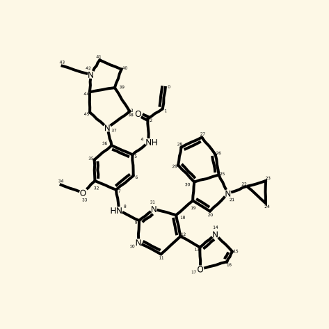 C=CC(=O)Nc1cc(Nc2ncc(-c3ncco3)c(-c3cn(C4CC4)c4ccccc34)n2)c(OC)cc1N1CC2CCN(C)C2C1